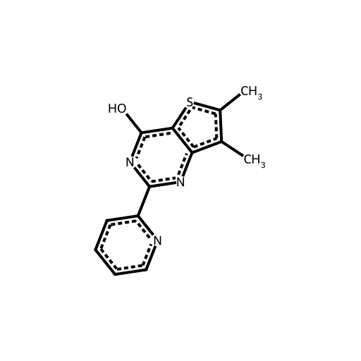 Cc1sc2c(O)nc(-c3ccccn3)nc2c1C